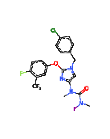 CN(I)C(=O)N(C)c1cn(Cc2ccc(Cl)cc2)c(Oc2ccc(F)c(C(F)(F)F)c2)n1